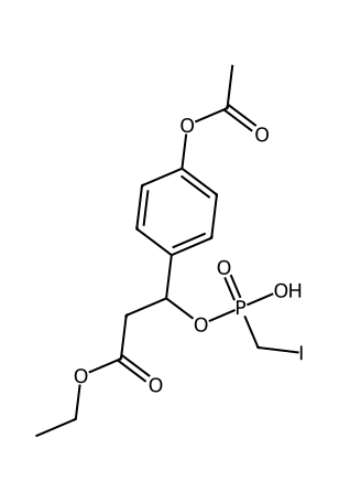 CCOC(=O)CC(OP(=O)(O)CI)c1ccc(OC(C)=O)cc1